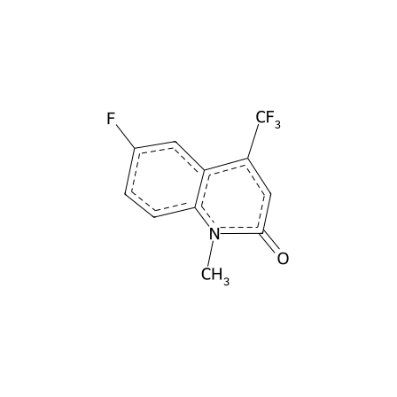 Cn1c(=O)cc(C(F)(F)F)c2cc(F)ccc21